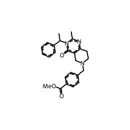 COC(=O)c1ccc(CN2CCc3nc(C)n(C(C)c4ccccc4)c(=O)c3C2)cc1